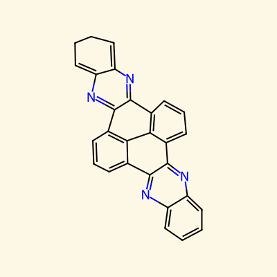 C1=c2nc3c4cccc5c6nc7ccccc7nc6c6cccc(c3nc2=CCC1)c6c45